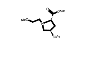 COCCN1C[C@H](OC)C[C@H]1C(=O)OC